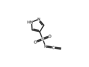 C=C=NS(=O)(=O)c1cn[nH]c1